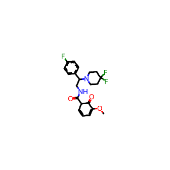 COC1=CC=CC(C(=O)NCC(c2ccc(F)cc2)N2CCC(F)(F)CC2)C1=O